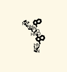 Cn1ccnc1CNCCC[C@H](NC(=O)c1ccc(CNCc2nccn2C)c2ccccc12)C(=O)NCc1cccc2ccccc12